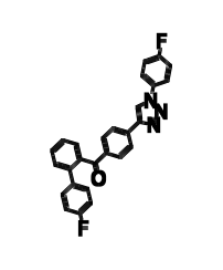 O=C(c1ccc(-c2cn(-c3ccc(F)cc3)nn2)cc1)c1ccccc1-c1ccc(F)cc1